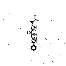 O=C(NCc1nnc(-c2ccccc2)s1)c1cn([C@@H]2C[C@H]2C(F)F)nn1